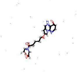 O=C1CC=NC2=C1NC=C1C=C(OCCCCC(=O)N3CCOCC3)CN12